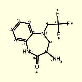 NC1CN(CC(F)(F)F)c2ccccc2NC1=O